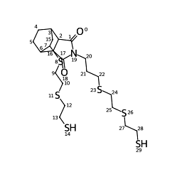 O=C1C2C3CCC(C(SCCSCCS)C3)C2C(=O)N1CCCSCCSCCS